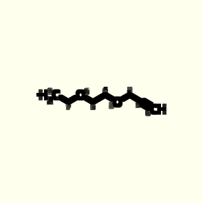 C#CCOCCOC[CH2]